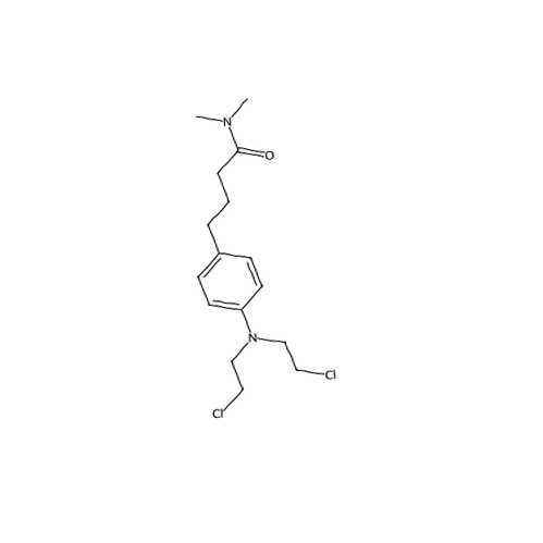 CN(C)C(=O)CCCc1ccc(N(CCCl)CCCl)cc1